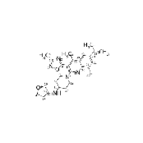 Cc1noc(-c2c(N3CCC(N[C@@H]4CCOC4)CC3)nc3c(F)cc(C(C)C)cc3c2C)n1